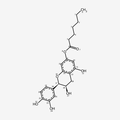 CCCCCCC(=O)Oc1cc(O)c2c(c1)O[C@H](c1ccc(O)c(O)c1)[C@H](O)C2